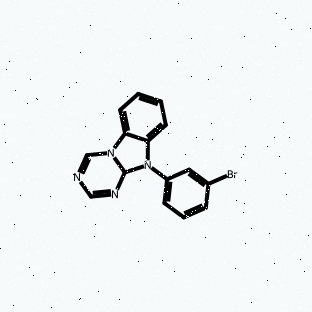 Brc1cccc(N2c3ccccc3N3C=NC=NC32)c1